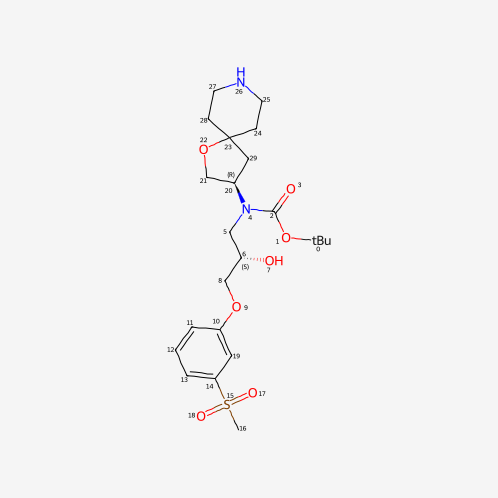 CC(C)(C)OC(=O)N(C[C@H](O)COc1cccc(S(C)(=O)=O)c1)[C@H]1COC2(CCNCC2)C1